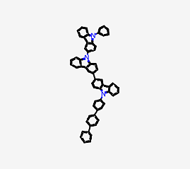 c1ccc(-c2ccc(-c3ccc(-n4c5ccccc5c5cc(-c6ccc7c(c6)c6ccccc6n7-c6ccc7c(c6)c6ccccc6n7-c6ccccc6)ccc54)cc3)cc2)cc1